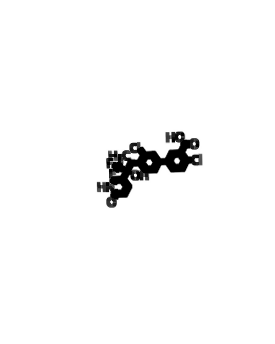 C[C@@H](c1ccc(-c2ccc(Cl)c(C(=O)O)c2)cc1Cl)[C@](O)(c1ccc(=O)[nH]c1)C(F)(F)F